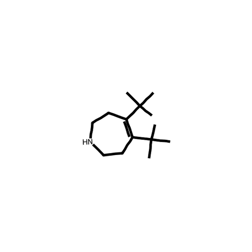 CC(C)(C)C1=C(C(C)(C)C)CCNCC1